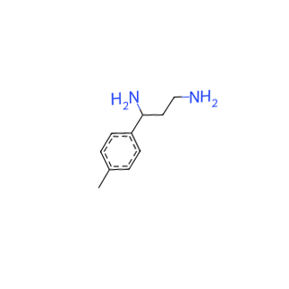 Cc1ccc(C(N)CCN)cc1